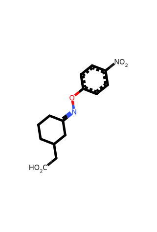 O=C(O)CC1CCC/C(=N\Oc2ccc([N+](=O)[O-])cc2)C1